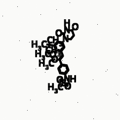 COC(=Cc1cc(N2CCC(=O)NC2=O)cc(C(C)(C)C)c1OC)c1ccc(NS(C)(=O)=O)cc1